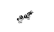 COC(=O)c1nc(Sc2ccnc(N3CC[C@H]3CO)c2Cl)cnc1N1CCC2(CC1)CO[C@@H](C)[C@H]2C